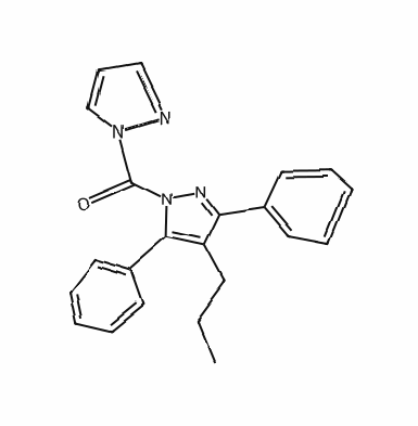 CCCc1c(-c2ccccc2)nn(C(=O)n2cccn2)c1-c1ccccc1